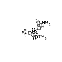 C[C@@H]1CN(C(=O)c2ccc3nc(N)c4cncn4c3c2)[C@H]2c3ccc(C(F)(F)F)cc3C[C@H]2O1